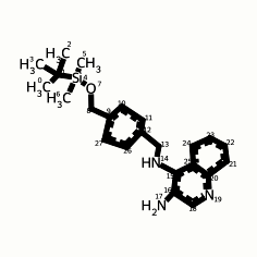 CC(C)(C)[Si](C)(C)OCc1ccc(CNc2c(N)cnc3ccccc23)cc1